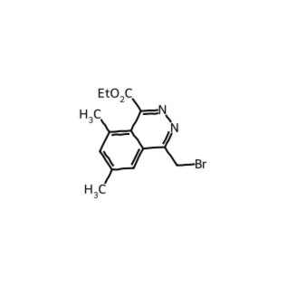 CCOC(=O)c1nnc(CBr)c2cc(C)cc(C)c12